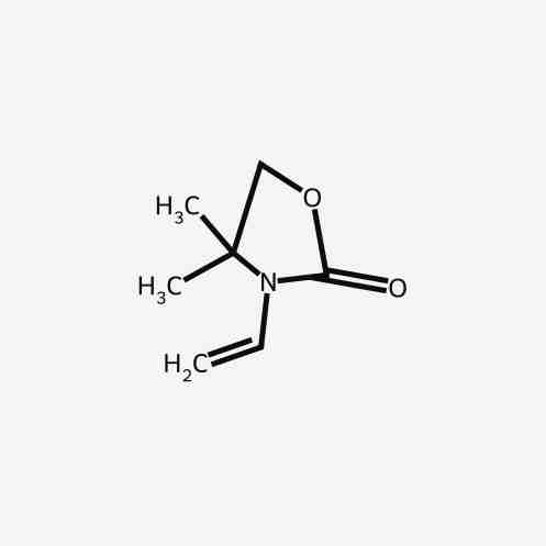 C=CN1C(=O)OCC1(C)C